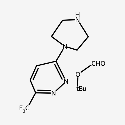 CC(C)(C)OC=O.FC(F)(F)c1ccc(N2CCNCC2)nn1